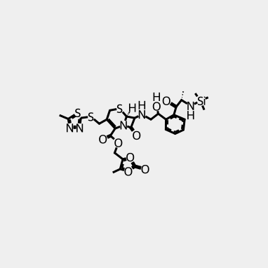 Cc1nnc(SCC2=C(C(=O)OCc3oc(=O)oc3C)N3C(=O)C(NCC(O)c4ccccc4C(=O)[C@H](C)N[Si](C)(C)C)[C@@H]3SC2)s1